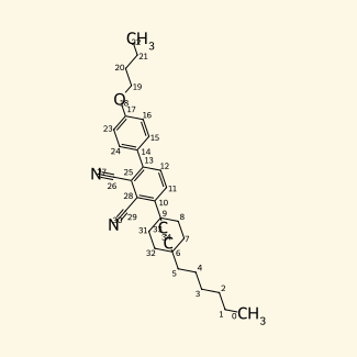 CCCCCCC12CCC(c3ccc(-c4ccc(OCCCC)cc4)c(C#N)c3C#N)(CC1)CC2